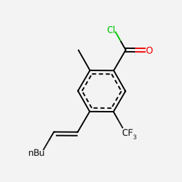 CCCC/C=C/c1cc(C)c(C(=O)Cl)cc1C(F)(F)F